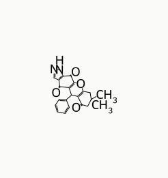 CC1(C)CC(=O)C2=C(C1)OC1=C(C(=O)c3cn[nH]c3C1=O)C2c1ccccc1